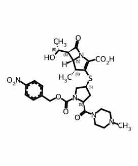 C[C@@H](O)[C@H]1C(=O)N2C(C(=O)O)=C(S[C@H]3C[C@@H](C(=O)N4CCN(C)CC4)N(C(=O)OCc4ccc([N+](=O)[O-])cc4)C3)[C@H](C)[C@H]12